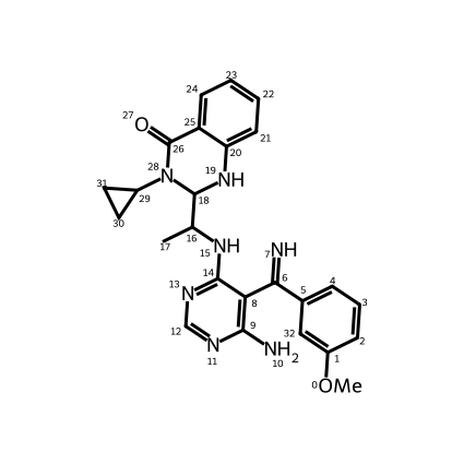 COc1cccc(C(=N)c2c(N)ncnc2NC(C)C2Nc3ccccc3C(=O)N2C2CC2)c1